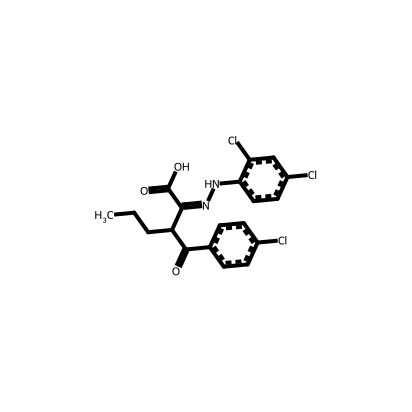 CCCC(C(=O)c1ccc(Cl)cc1)C(=NNc1ccc(Cl)cc1Cl)C(=O)O